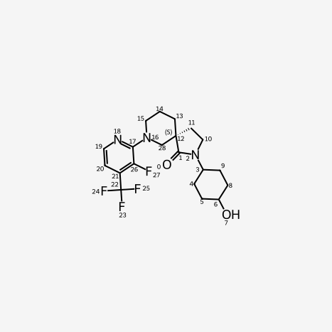 O=C1N(C2CCC(O)CC2)CC[C@]12CCCN(c1nccc(C(F)(F)F)c1F)C2